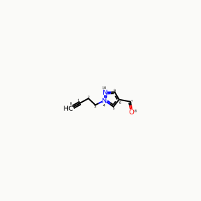 C#CCCn1cc(C=O)cn1